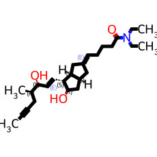 CC#CC[C@@H](C)[C@H](O)/C=C/[C@@H]1[C@H]2C/C(=C/CCCC(=O)N(CC)CC)C[C@H]2C[C@H]1O